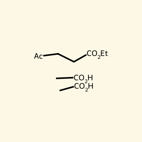 CC(=O)O.CC(=O)O.CCOC(=O)CCC(C)=O